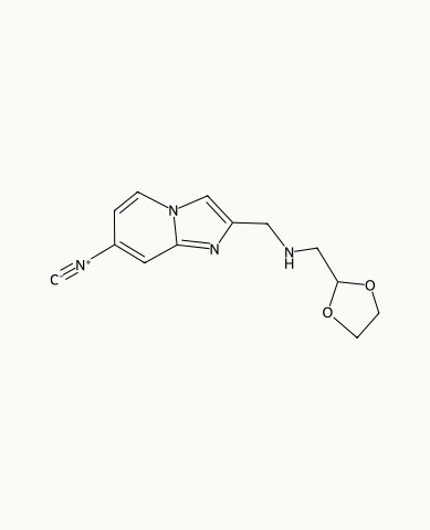 [C-]#[N+]c1ccn2cc(CNCC3OCCO3)nc2c1